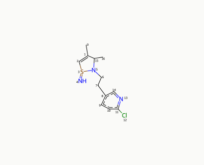 CC1=CS(=N)N(CCc2ccc(Cl)nc2)C1C